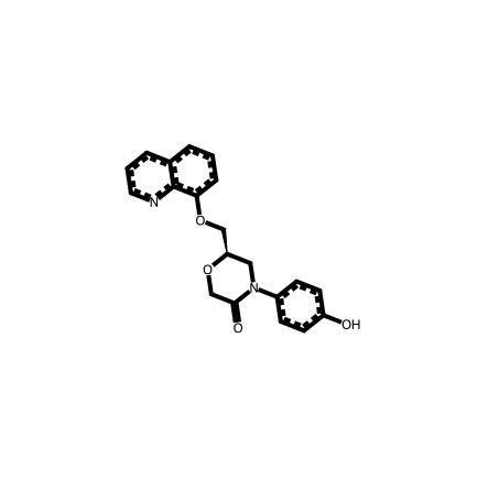 O=C1CO[C@@H](COc2cccc3cccnc23)CN1c1ccc(O)cc1